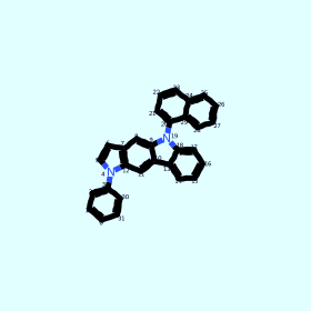 c1ccc(-n2ccc3cc4c(cc32)c2ccccc2n4-c2cccc3ccccc23)cc1